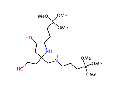 CO[Si](CCCNCC(CCO)(CCO)NCCC[Si](OC)(OC)OC)(OC)OC